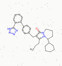 CCCc1c(Cc2ccc(-c3ccccc3-c3nnn[nH]3)cc2)c(=O)n2n1C(C1CCCCC1)CCC2